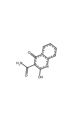 NC(=O)c1c(O)nc2ccccn2c1=O